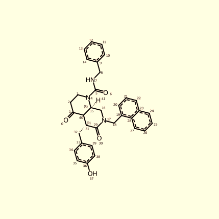 O=C1CCN(C(=O)NCc2ccccc2)[C@H]2CN(Cc3cccc4ccccc34)C(=O)[C@H](Cc3ccc(O)cc3)C12